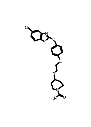 NC(=O)N1CCC(NCCOc2ccc(Oc3nc4cc(Cl)ccc4s3)cc2)CC1